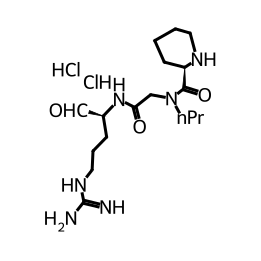 CCCN(CC(=O)N[C@H](C=O)CCCNC(=N)N)C(=O)[C@H]1CCCCN1.Cl.Cl